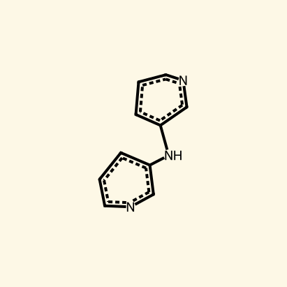 c1cncc(Nc2cccnc2)c1